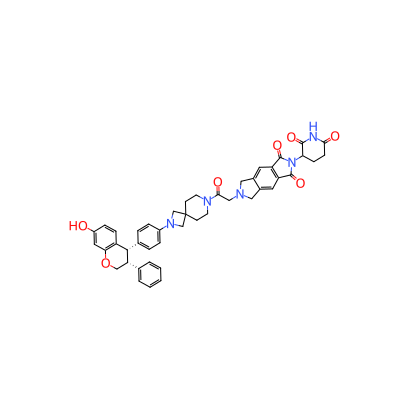 O=C1CCC(N2C(=O)c3cc4c(cc3C2=O)CN(CC(=O)N2CCC3(CC2)CN(c2ccc([C@H]5c6ccc(O)cc6OC[C@H]5c5ccccc5)cc2)C3)C4)C(=O)N1